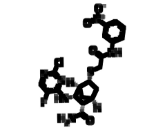 NC(=O)[C@H]1[C@H]2C[C@@H]([C@H]1Nc1nc(Cl)ncc1F)[C@H](SCC(=O)Nc1cccc([N+](=O)[O-])c1)C2